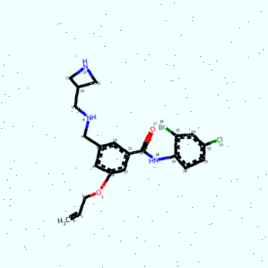 C=CCOc1cc(CNCC2CNC2)cc(C(=O)Nc2ccc(Cl)cc2Br)c1